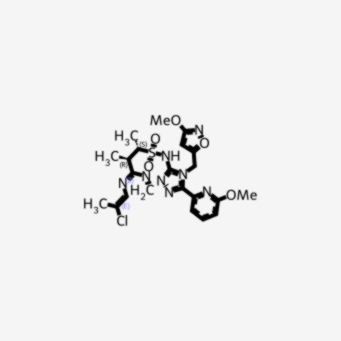 C=N/C(=N\C=C(/C)Cl)[C@@H](C)[C@H](C)S(=O)(=O)Nc1nnc(-c2cccc(OC)n2)n1Cc1cc(OC)no1